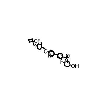 O=C(c1ccc(-c2ccc(OCC3CCN(CC4(C(F)(F)F)CCC4)CC3)nc2)cc1F)N1CCC[C@H](O)C1